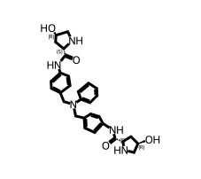 O=C(Nc1ccc(CN(Cc2ccc(NC(=O)[C@@H]3C[C@@H](O)CN3)cc2)c2ccccc2)cc1)[C@@H]1C[C@@H](O)CN1